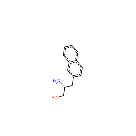 N[C@@H](CO)Cc1ccc2ccccc2c1